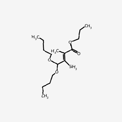 CCCCOC(OCCCC)C([SiH3])=C(C)C(=O)OCCC